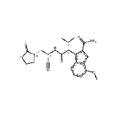 COc1cccc2c1cc(C(N)=O)n2[C@H](C(=O)N[C@H](C#N)C[C@@H]1CCNC1=O)C(C)C